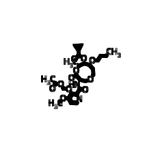 CCCCO[C@H]1CCOC[C@H](NC(=O)c2nccc(OC)c2OCOC(C)=O)C(=O)O[C@@H](C)[C@@H]1OC(=O)C1CC1